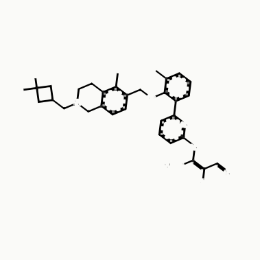 CO/C(Nc1cccc(-c2cccc(C)c2OCc2ccc3c(c2C)CCN(CC2CC(C)(F)C2)C3)n1)=C(/C=N)C(=O)O